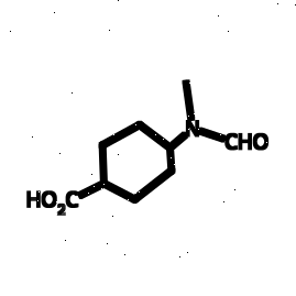 CN(C=O)C1CCC(C(=O)O)CC1